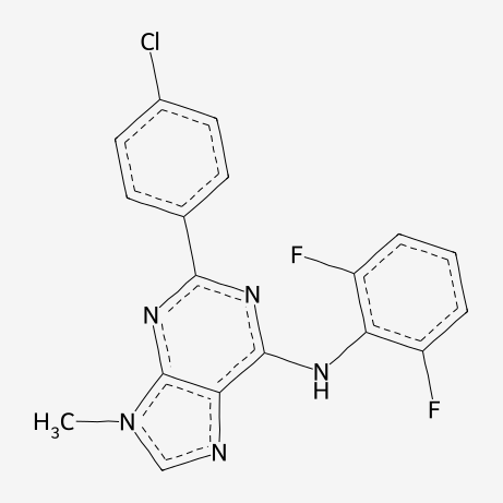 Cn1cnc2c(Nc3c(F)cccc3F)nc(-c3ccc(Cl)cc3)nc21